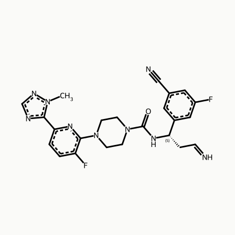 Cn1ncnc1-c1ccc(F)c(N2CCN(C(=O)N[C@@H](CC=N)c3cc(F)cc(C#N)c3)CC2)n1